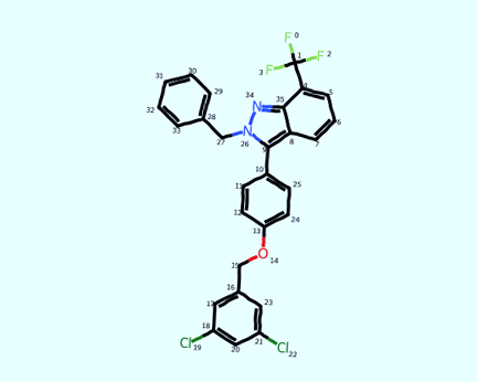 FC(F)(F)c1cccc2c(-c3ccc(OCc4cc(Cl)cc(Cl)c4)cc3)n(Cc3ccccc3)nc12